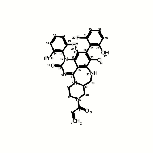 C=CC(=O)N1CCN2c3nc(=O)n(-c4c(C(C)C)cccc4C(C)C)c4c(F)c(-c5c(O)cccc5F)c(Cl)c(c34)NCC2C1